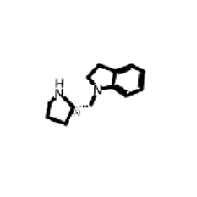 c1ccc2c(c1)CCN2C[C@@H]1CCCN1